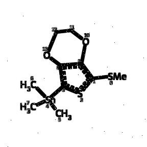 CSc1s[c]([Sn]([CH3])([CH3])[CH3])c2c1OCCO2